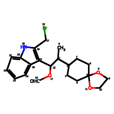 CC(C1CCC2(CC1)OCCO2)C(OC=O)c1c(CBr)[nH]c2ccccc12